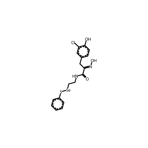 O=C(NCC[Se]Sc1ccccc1)/C(Cc1ccc(O)c(Cl)c1)=N/O